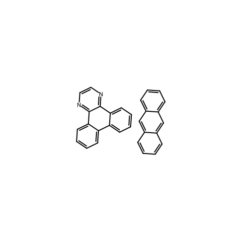 c1ccc2c(c1)c1ccccc1c1nccnc21.c1ccc2cc3ccccc3cc2c1